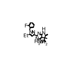 C=C(N)C1(C)C(=C)Nc2nc(-c3cc(CC)n(Cc4ccccc4F)n3)nc(N)c21